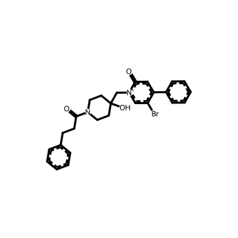 O=C(CCc1ccccc1)N1CCC(O)(Cn2cc(Br)c(-c3ccccc3)cc2=O)CC1